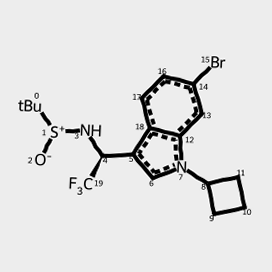 CC(C)(C)[S+]([O-])N[C@@H](c1cn(C2CCC2)c2cc(Br)ccc12)C(F)(F)F